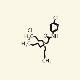 CCCC[P+](CCCC)(CCCC)CC(=O)Nc1ccc(Cl)cc1.[Cl-]